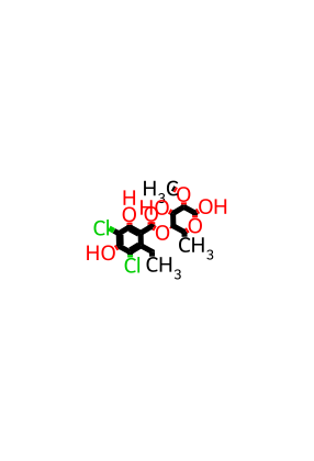 CCc1c(Cl)c(O)c(Cl)c(O)c1C(=O)O[C@H]1C(C)OC(O)C(OC)C1O